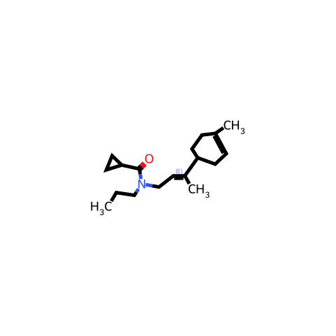 CCCN(C/C=C(\C)C1CC=C(C)CC1)C(=O)C1CC1